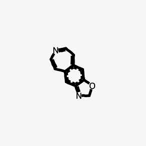 C1=Cc2cc3c(cc2=CC=N1)OCN=3